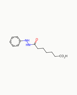 O=C(O)CCCCCC(=O)NNc1ccccc1